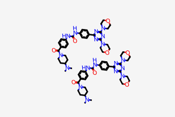 CN(C)C1CCN(C(=O)c2ccc(NC(=O)Nc3ccc(-c4nc(N5CCOCC5)nc(N5CCOCC5)n4)cc3)cc2)CC1.CN(C)C1CCN(C(=O)c2ccc(NC(=O)Nc3ccc(-c4nc(N5CCOCC5)nc(N5CCOCC5)n4)cc3)cc2)CC1